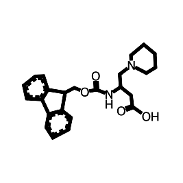 O=C(O)CC(CN1CCCCC1)NC(=O)OCC1c2ccccc2-c2ccccc21